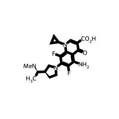 CN[C@@H](C)[C@@H]1CCN(c2c(F)c(N)c3c(=O)c(C(=O)O)cn(C4CC4)c3c2F)C1